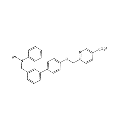 CC(C)N(Cc1cccc(-c2ccc(OCc3ccc(C(=O)O)cn3)cc2)c1)c1ccccc1